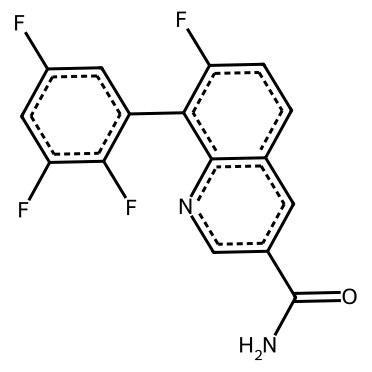 NC(=O)c1cnc2c(-c3cc(F)cc(F)c3F)c(F)ccc2c1